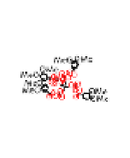 COc1ccc(C(=O)OOC(=O)OCC(COC(=O)OOC(=O)c2ccc(OC)c(OC)c2)(COC(=O)OOC(=O)c2ccc(OC)c(OC)c2)COC(=O)OOC(=O)c2ccc(OC)c(OC)c2)cc1OC